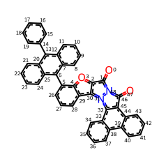 O=c1c2oc3c(-c4c5ccccc5c(-c5ccccc5)c5ccccc45)cccc3c2n2c3c4ccccc4c4ccccc4c3c(=O)n12